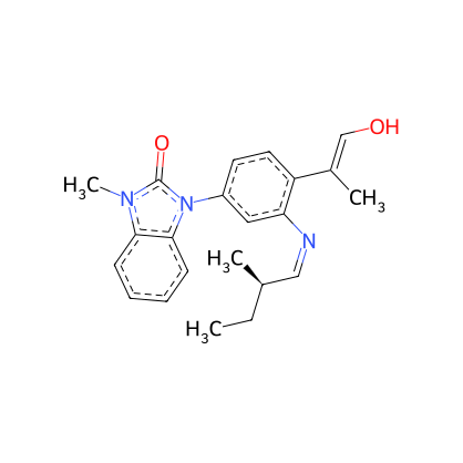 CC[C@@H](C)/C=N\c1cc(-n2c(=O)n(C)c3ccccc32)ccc1/C(C)=C/O